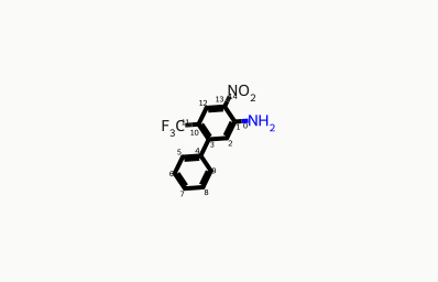 Nc1cc(-c2ccccc2)c(C(F)(F)F)cc1[N+](=O)[O-]